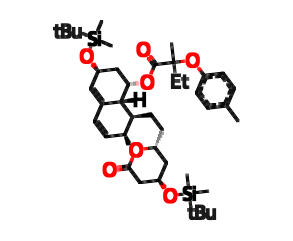 CCC(C)(Oc1ccc(C)cc1)C(=O)O[C@H]1C[C@H](O[Si](C)(C)C(C)(C)C)C=C2C=C[C@H](C)[C@H](CC[C@@H]3C[C@@H](O[Si](C)(C)C(C)(C)C)CC(=O)O3)[C@H]21